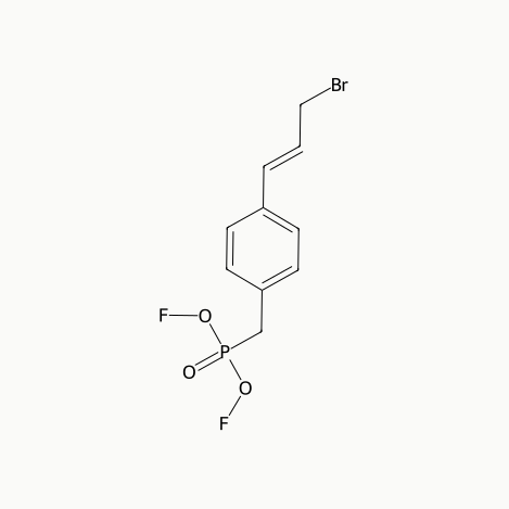 O=P(Cc1ccc(/C=C/CBr)cc1)(OF)OF